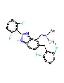 CC(=O)N(C)Cc1c(Cc2c(F)cccc2F)ccc2[nH]c(-c3c(F)cccc3F)nc12